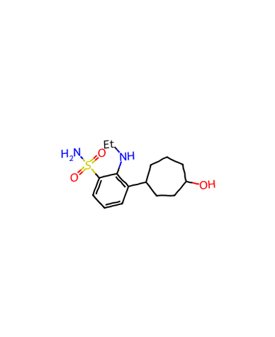 CCNc1c(C2CCCC(O)CC2)cccc1S(N)(=O)=O